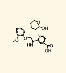 COc1ccccc1OCC(=N)c1cc(C(=O)O)ccn1.OC1CCCCO1